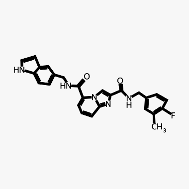 Cc1cc(CNC(=O)c2cn3c(C(=O)NCc4ccc5[nH]ccc5c4)cccc3n2)ccc1F